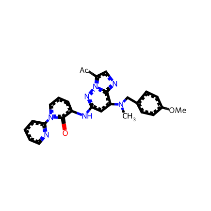 COc1ccc(CN(C)c2cc(Nc3cccn(-c4ccccn4)c3=O)nn3c(C(C)=O)cnc23)cc1